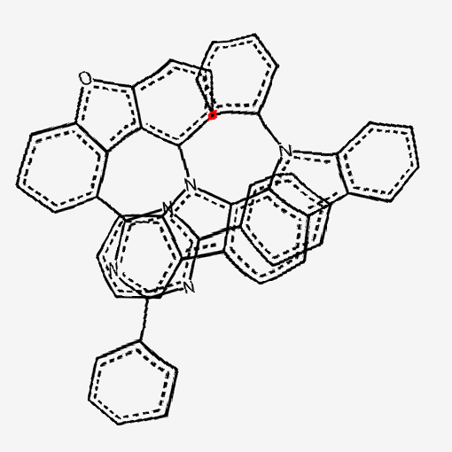 c1ccc(-c2nc(-c3ccccc3)nc(-c3cccc4oc5cccc(-n6c7ccccc7c7ccc8c9ccccc9n(-c9ccccc9)c8c76)c5c34)n2)cc1